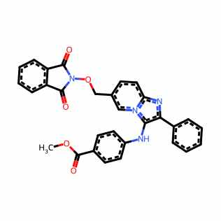 COC(=O)c1ccc(Nc2c(-c3ccccc3)nc3ccc(CON4C(=O)c5ccccc5C4=O)cn23)cc1